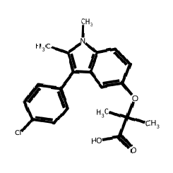 Cc1c(-c2ccc(Cl)cc2)c2cc(OC(C)(C)C(=O)O)ccc2n1C